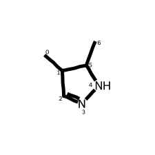 CC1C=NNC1C